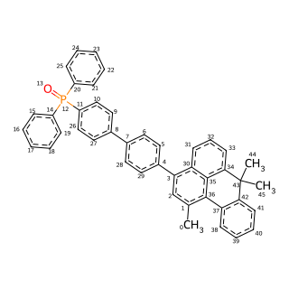 Cc1cc(-c2ccc(-c3ccc(P(=O)(c4ccccc4)c4ccccc4)cc3)cc2)c2cccc3c2c1-c1ccccc1C3(C)C